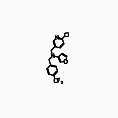 FC(F)(F)c1ccc(CN(Cc2ccc(Cl)nc2)c2ccoc2)cc1